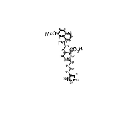 COc1ccc2nccc([C@@H](F)CC[C@@H]3CCN(CCCCc4cccn4C)C[C@@H]3C(=O)O)c2c1